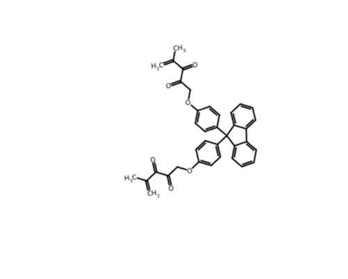 C=C(C)C(=O)C(=O)COc1ccc(C2(c3ccc(OCC(=O)C(=O)C(=C)C)cc3)c3ccccc3-c3ccccc32)cc1